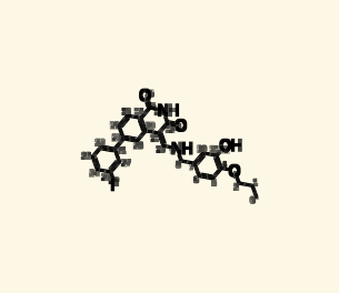 CCCOc1ccc(CNC=C2C(=O)NC(=O)c3ccc(-c4cccc(F)c4)cc32)cc1O